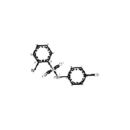 O=S(=O)(Nc1ccc(Cl)cc1)c1ccccc1Br